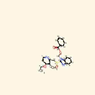 Cc1c(OCC(F)(F)F)ccnc1C[S+]([O-])c1nc2ccccc2n1COC(=O)c1ccccc1